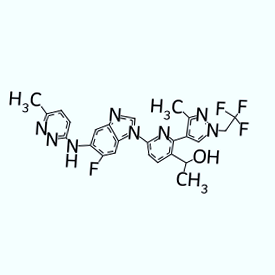 Cc1ccc(Nc2cc3ncn(-c4ccc(C(C)O)c(-c5cn(CC(F)(F)F)nc5C)n4)c3cc2F)nn1